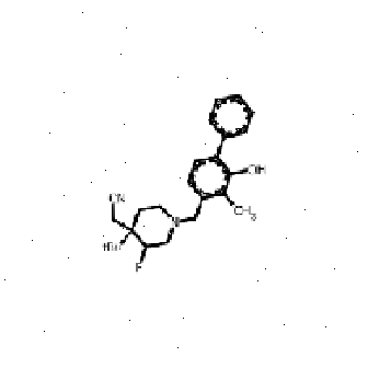 Cc1c(CN2CC[C@](CC#N)(C(C)(C)C)C(F)C2)ccc(-c2ccccc2)c1O